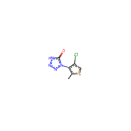 Cc1scc(Cl)c1-n1nn[nH]c1=O